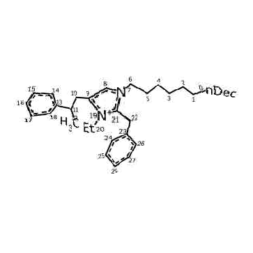 CCCCCCCCCCCCCCCCn1cc(CC(C)c2ccccc2)[n+](CC)c1Cc1ccccc1